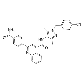 Cc1nn(Cc2ccc(C#N)cc2)c(C)c1NC(=O)c1cc(-c2ccc(C(N)=O)cc2)nc2ccccc12